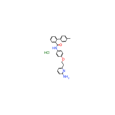 Cc1ccc(-c2ccccc2C(=O)Nc2ccc(OCCc3cccc(N)n3)cc2)cc1.Cl